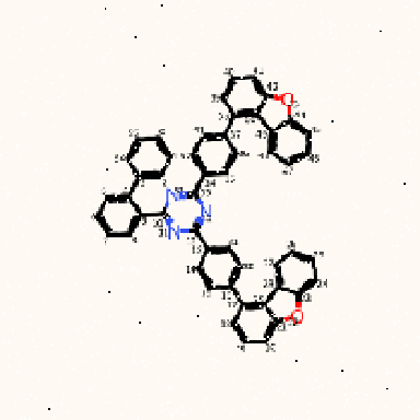 c1ccc(-c2ccccc2-c2nc(-c3ccc(-c4cccc5oc6ccccc6c45)cc3)nc(-c3ccc(-c4cccc5oc6ccccc6c45)cc3)n2)cc1